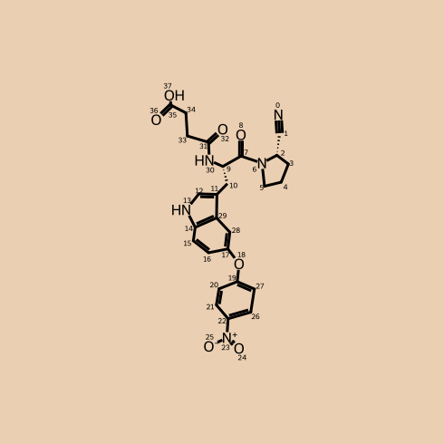 N#C[C@@H]1CCCN1C(=O)[C@H](Cc1c[nH]c2ccc(Oc3ccc([N+](=O)[O-])cc3)cc12)NC(=O)CCC(=O)O